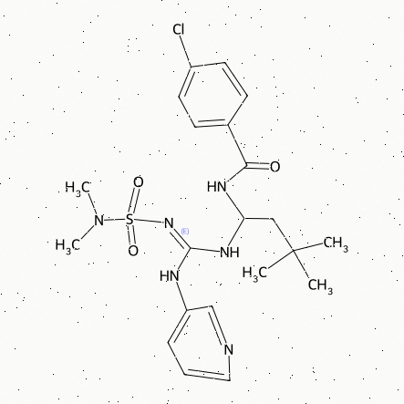 CN(C)S(=O)(=O)/N=C(\Nc1cccnc1)NC(CC(C)(C)C)NC(=O)c1ccc(Cl)cc1